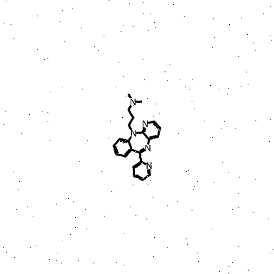 CN(C)CCCN1c2ccccc2C(c2ccccn2)=Nc2cccnc21